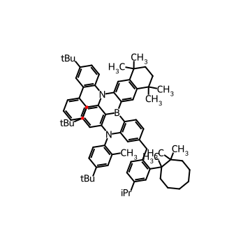 Cc1cc(C(C)(C)C)ccc1N1c2cc(Cc3ccc(C(C)C)cc3C3(C)CCCCCCC3(C)C)ccc2B2c3cc4c(cc3N(c3ccc(C(C)(C)C)cc3-c3ccccc3)c3cc(C(C)(C)C)cc1c32)C(C)(C)CCC4(C)C